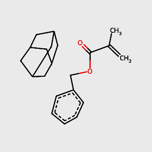 C1[C]2CC3CC1CC(C2)C3.C=C(C)C(=O)OCc1ccccc1